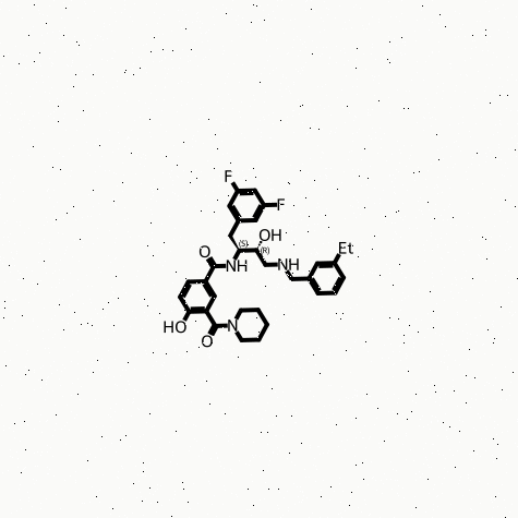 CCc1cccc(CNC[C@@H](O)[C@H](Cc2cc(F)cc(F)c2)NC(=O)c2ccc(O)c(C(=O)N3CCCCC3)c2)c1